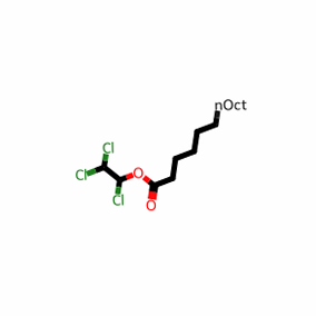 CCCCCCCCCCCCCC(=O)OC(Cl)C(Cl)Cl